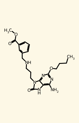 CCCCOc1nc(N)c2[nH]c(=O)n(CCCNCc3cccc(C(=O)OC)c3)c2n1